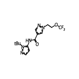 CC(C)(C)n1nccc1NC(=O)c1cnn(CCOC(F)(F)F)c1